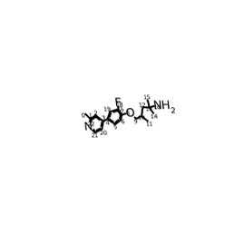 Cc1cc(-c2ccc(OCC(C)CC(C)(C)N)c(F)c2)ccn1